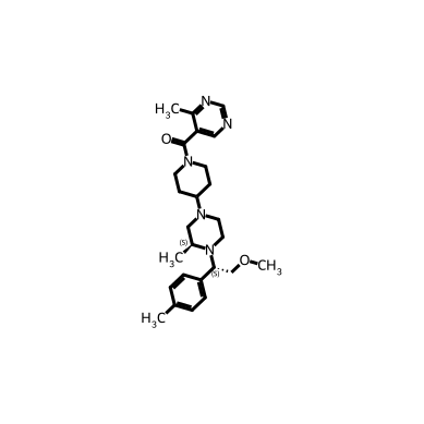 COC[C@H](c1ccc(C)cc1)N1CCN(C2CCN(C(=O)c3cncnc3C)CC2)C[C@@H]1C